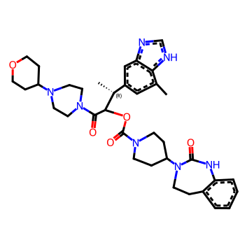 Cc1cc([C@@H](C)C(OC(=O)N2CCC(N3CCc4ccccc4NC3=O)CC2)C(=O)N2CCN(C3CCOCC3)CC2)cc2nc[nH]c12